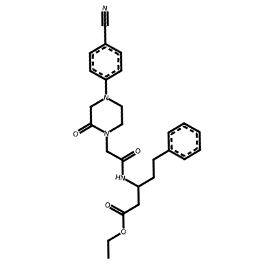 CCOC(=O)CC(CCc1ccccc1)NC(=O)CN1CCN(c2ccc(C#N)cc2)CC1=O